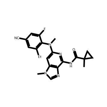 CCc1cc(C#N)cc(F)c1N(C)c1cc2c(ncn2C)c(NC(=O)C2(C)CC2)n1